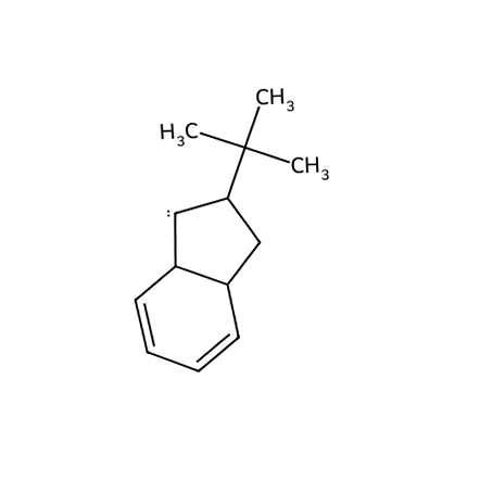 CC(C)(C)C1[C]C2C=CC=CC2C1